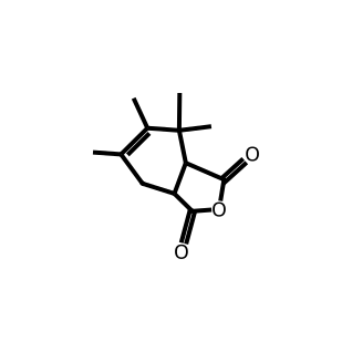 CC1=C(C)C(C)(C)C2C(=O)OC(=O)C2C1